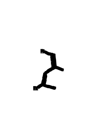 CCC=C(C)C=C(C)CC